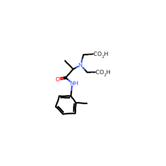 Cc1ccccc1NC(=O)C(C)N(CC(=O)O)CC(=O)O